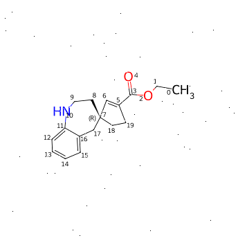 CCOC(=O)C1=C[C@]2(CCNc3ccccc3C2)CC1